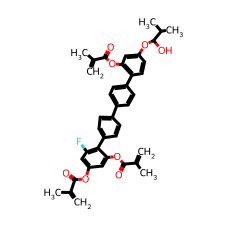 C=C(C)C(=O)Oc1cc(F)c(-c2ccc(-c3ccc(-c4ccc(OC(O)C(C)C)cc4OC(=O)C(=C)C)cc3)cc2)c(OC(=O)C(=C)C)c1